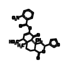 CC12CCC3C(=O)OC(c4ccoc4)CC3(C)C1C(=O)C(OC(=O)c1ccccc1[N+](=O)[O-])=CC2C(=O)O